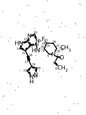 C=CC(=O)N1C[C@H](Nc2ncnc3[nH]cc(C#Cc4cn[nH]c4)c23)[C@@H](F)C[C@@H]1C